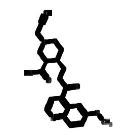 C#CCN1CC[C@@H](CCC(=O)c2ccnc3ccc(OC)cc23)[C@@H](C(=O)O)C1